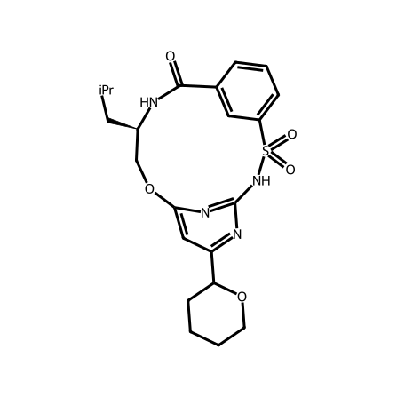 CC(C)C[C@@H]1COc2cc(C3CCCCO3)nc(n2)NS(=O)(=O)c2cccc(c2)C(=O)N1